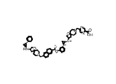 O=C(Oc1cccc([C@@H]2C[C@H]2NC2COC3(CCN(Cc4cnc(C(=O)O)cn4)CC3)C2)c1)c1ccc2cc(CN3CCC4(CC3)CC(N[C@@H]3C[C@H]3c3ccccc3)CO4)ccc2c1